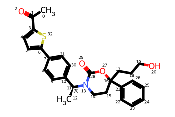 CC(=O)c1ccc(-c2ccc([C@H](C)N3CCC(CCCO)(c4ccccc4)OC3=O)cc2)s1